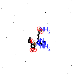 Cc1ccc(-c2cc3c(cc2Sc2nc4c(N)ncnc4n2CCCCCS(N)(=O)=O)OCO3)o1